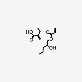 C=C(CC)C(=O)O.C=CC(=O)OCC(O)CCC